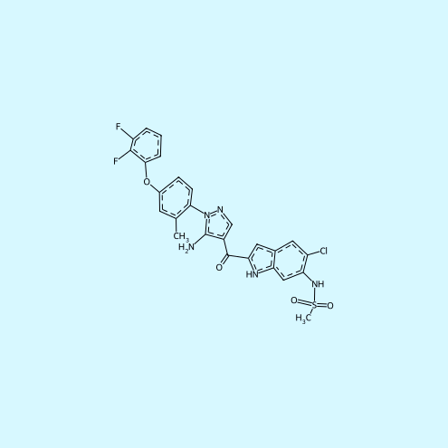 Cc1cc(Oc2cccc(F)c2F)ccc1-n1ncc(C(=O)c2cc3cc(Cl)c(NS(C)(=O)=O)cc3[nH]2)c1N